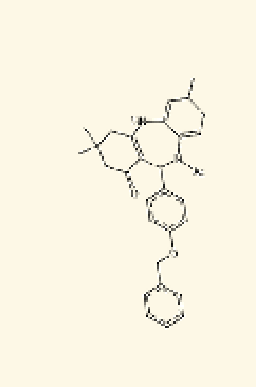 CC(=O)N1C2=CCC(C)C=C2NC2=C(C(=O)CC(C)(C)C2)C1c1ccc(OCc2ccccc2)cc1